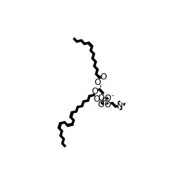 CCCC/C=C\CCCCCCCC(=O)OC[C@H](COP(=O)([O-])OCC[N+](C)(C)C)OC(=O)CCCCCC/C=C\C/C=C\C/C=C\CCCCC